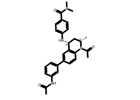 CC(=O)Nc1cccc(-c2ccc3c(c2)[C@H](Nc2ccc(C(=O)N(C)C)cc2)C[C@H](C)N3C(C)=O)c1